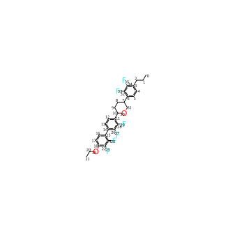 CCCc1ccc(C2CCC(c3ccc(-c4ccc(OCC)c(F)c4F)c(F)c3F)OC2)c(F)c1F